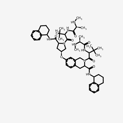 CN[C@@H](C)C(=O)NC(C(=O)N1Cc2cc(O[C@H]3CC(C(=O)NC4CCCc5ccccc54)N(C(=O)C(NC(=O)[C@H](C)NC)C(C)(C)C)C3)ccc2CC1C(=O)NC1CCCc2ccccc21)C(C)(C)C